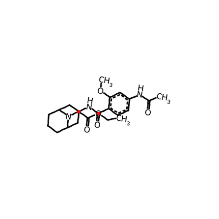 CCOC(=O)CN1C2CCCC1CC(NC(=O)c1ccc(NC(C)=O)cc1OC)C2